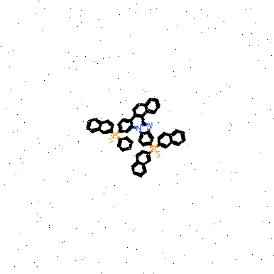 S=P(c1ccc2ccccc2c1)(c1ccc2ccccc2c1)c1ccc2c(c1)nc1c3c4ccccc4ccc3c3ccc(P(=S)(c4ccccc4)c4ccc5ccccc5c4)cc3n21